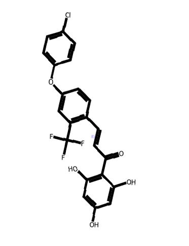 O=C(/C=C/c1ccc(Oc2ccc(Cl)cc2)cc1C(F)(F)F)c1c(O)cc(O)cc1O